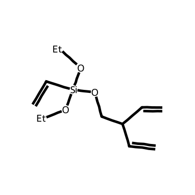 C=CC(C=C)CO[Si](C=C)(OCC)OCC